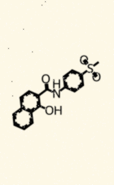 CS(=O)(=O)c1ccc(NC(=O)c2ccc3ccccc3c2O)cc1